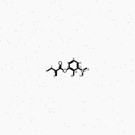 C=C(CC)C(=O)Oc1cccc(N(C)C)c1C